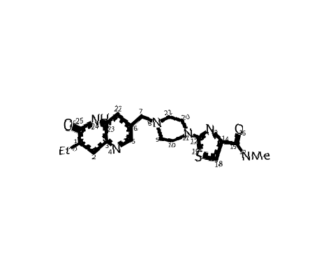 CCc1cc2ncc(CN3CCN(c4nc(C(=O)NC)cs4)CC3)cc2[nH]c1=O